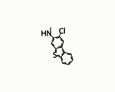 CNc1cc2sc3ccccc3c2cc1Cl